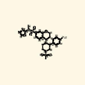 CS(=O)(=O)N1CCN(C2CCOc3cc(S(=O)(=O)Nc4ncns4)ccc32)C(c2ccc(F)cc2)C1